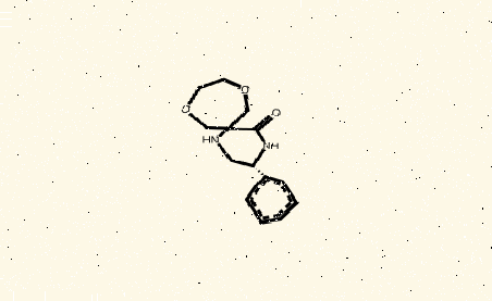 O=C1N[C@H](c2ccccc2)CNC12COCCOC2